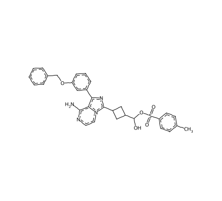 Cc1ccc(S(=O)(=O)OC(O)C2CC(c3nc(-c4cccc(OCc5ccccc5)c4)c4c(N)nccn34)C2)cc1